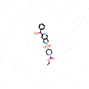 CCOC(=O)N1CCC(S(=O)(=O)N2Cc3cnc(C(O)c4ccccc4)cc3C2)CC1